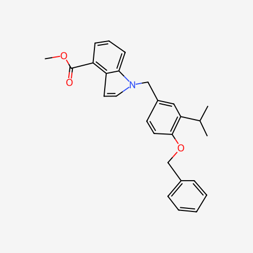 COC(=O)c1cccc2c1ccn2Cc1ccc(OCc2ccccc2)c(C(C)C)c1